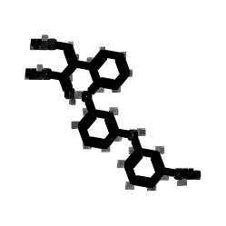 COC=C(C(=O)OC)c1ccccc1Oc1cccc(Oc2cccc(OC)c2)c1